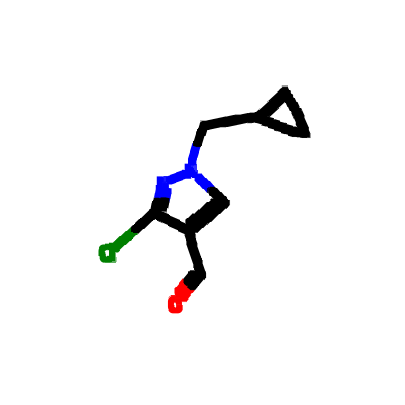 O=Cc1cn(CC2CC2)nc1Cl